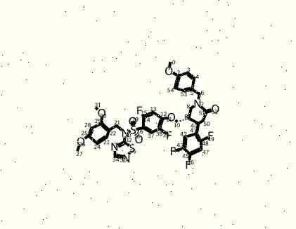 COc1ccc(CN2C[C@@H](COc3cc(F)c(S(=O)(=O)N(Cc4ccc(OC)cc4OC)c4ncns4)cc3F)C(c3cc(F)c(F)cc3F)CC2=O)cc1